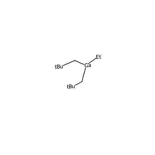 C[CH2][Ga]([CH2]C(C)(C)C)[CH2]C(C)(C)C